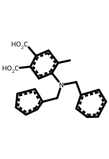 Cc1cc(C(=O)O)c(C(=O)O)cc1N(Cc1ccccc1)Cc1ccccc1